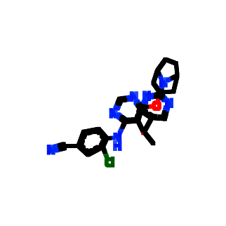 CCc1cnc(N2C3CCC2CC(Oc2ncnc(Nc4ccc(C#N)cc4Cl)c2C)C3)nc1